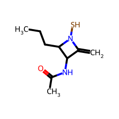 C=C1C(NC(C)=O)C(CCC)N1S